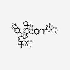 COc1ccc([C@H](NC(=O)[C@H](Cc2ccc(CNC(=O)OC(C)(C)C)cc2)NC(=O)C2(C(F)(F)F)CCCC2)C(=O)N[C@H](C(=O)C(F)(F)F)C(C)C)cc1